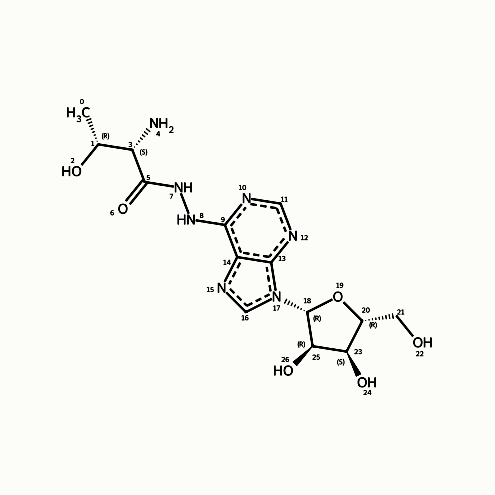 C[C@@H](O)[C@H](N)C(=O)NNc1ncnc2c1ncn2[C@@H]1O[C@H](CO)[C@@H](O)[C@H]1O